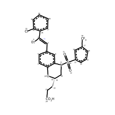 CC/C(=C\c1ccc2c(c1)N(S(=O)(=O)c1cccc(C(F)(F)F)c1)C[C@H](CCC(=O)O)O2)c1ccccc1Cl